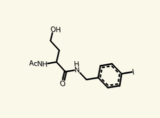 CC(=O)NC(CCO)C(=O)NCc1ccc(I)cc1